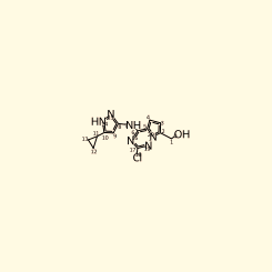 OCc1ccc2c(Nc3cc(C4CC4)[nH]n3)nc(Cl)nn12